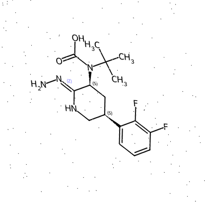 CC(C)(C)N(C(=O)O)[C@H]1C[C@@H](c2cccc(F)c2F)CN/C1=N\N